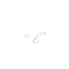 CN(C)c1ccc(NC(=O)Cn2c(-c3cccc(Cl)c3)nc3cccnc32)cc1